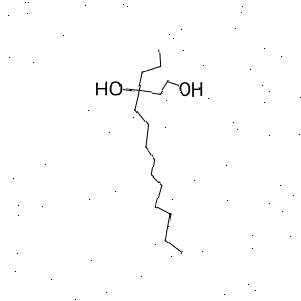 CCCCCCCCCCC(O)(CCC)CCO